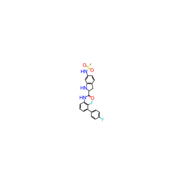 CS(=O)(=O)Nc1ccc2c(c1)NC(C(=O)Nc1cccc(-c3ccc(F)cc3)c1F)C2